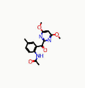 COc1cc(OC)nc(C(=O)c2cc(C)ccc2NC(C)=O)n1